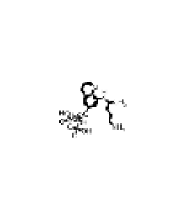 COc1cc(NC(C)CCCN)c2ncccc2c1.O=P(O)(O)OP(=O)(O)O